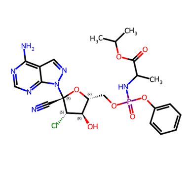 CC(C)OC(=O)C(C)NP(=O)(OC[C@H]1O[C@@](C#N)(n2ncc3c(N)ncnc32)[C@@H](Cl)[C@@H]1O)Oc1ccccc1